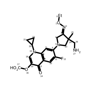 CCO/N=C1\CN(c2cc3c(cc2F)c(=O)c(OC(=O)O)cn3C2CC2)CC1(C)CN